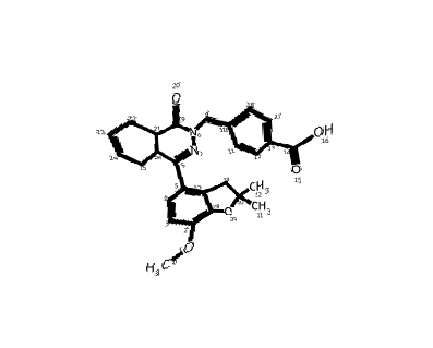 COc1ccc(C2=NN(Cc3ccc(C(=O)O)cc3)C(=O)C3CC=CCC23)c2c1OC(C)(C)C2